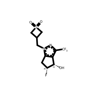 O=S1(=O)CC(Cn2nc(C(F)(F)F)c3c2C[C@@H](F)[C@H]3O)C1